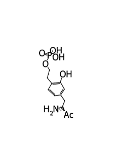 CC(=O)[C@@H](N)Cc1ccc(CCOP(=O)(O)O)c(O)c1